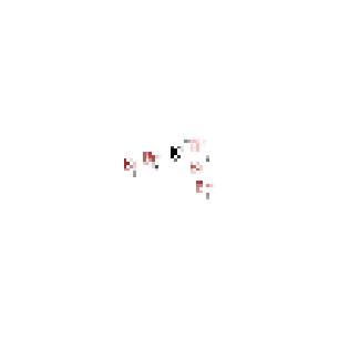 [B+3].[Br-].[Br-].[Br-].[Br-].[K+]